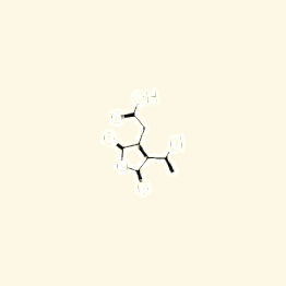 C=C(Cl)C1=C(CC(=O)O)C(=O)OC1=O